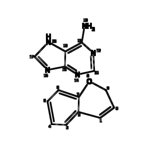 C1=Cc2ccccc2OC1.Nc1ncnc2nc[nH]c12